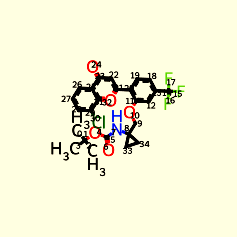 CC(C)(C)OC(=O)NC1(COc2cc(C(F)(F)F)ccc2-c2cc(=O)c3cccc(Cl)c3o2)CC1